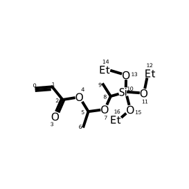 C=CC(=O)OC(C)OC(C)[Si](OCC)(OCC)OCC